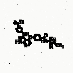 CCC(=O)N1CC[C@@H](Nc2n[nH]c3nccc(Oc4ccc(C(=O)Nc5nnc(C)[nH]5)cc4)c23)C1